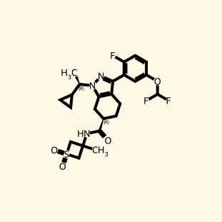 C[C@H](C1CC1)n1nc(-c2cc(OC(F)F)ccc2F)c2c1C[C@H](C(=O)NC1(C)CS(=O)(=O)C1)CC2